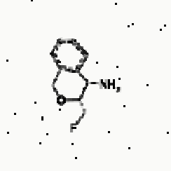 NC1c2ccccc2CO[C@H]1CF